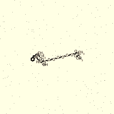 CNN(C)Cc1cc2ccccc2n1CCC(=O)N[C@@H](CO)C(=O)NCCOCCOCCOCCOCCOCCOCCC(=O)N(C)[C@@H](C)C(=O)O